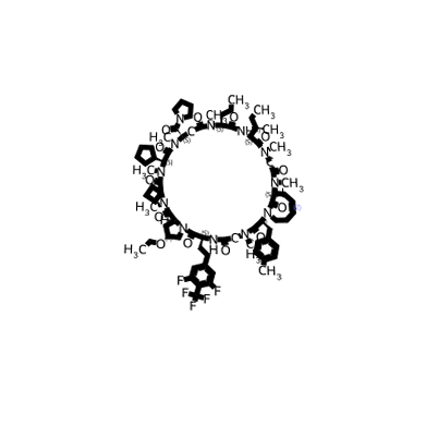 CCC[C@H]1C(=O)N[C@@H]([C@@H](C)CC)C(=O)N(C)CC(=O)N(C)[C@H]2C/C=C\CCN(C2=O)[C@@H](Cc2ccc(C)cc2)C(=O)N(C)CC(=O)N[C@@H](CCc2cc(F)c(C(F)(F)F)c(F)c2)C(=O)N2C[C@H](OCC)C[C@H]2C(=O)N(C)C2(CCC2)C(=O)N(C)[C@@H](C2CCCC2)C(=O)N(C)[C@H](C(=O)N2CCCC2)CC(=O)N1C